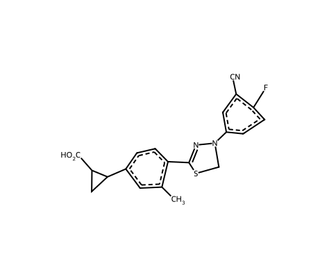 Cc1cc(C2CC2C(=O)O)ccc1C1=NN(c2ccc(F)c(C#N)c2)CS1